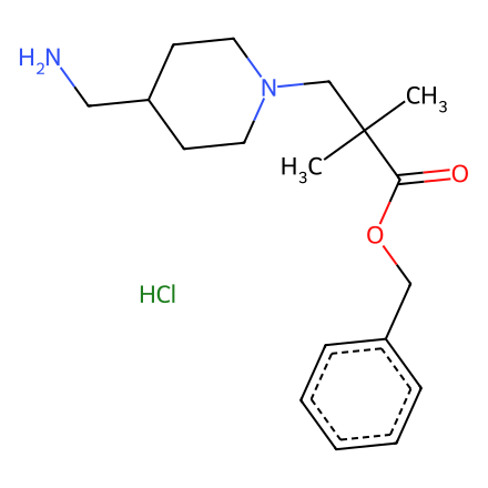 CC(C)(CN1CCC(CN)CC1)C(=O)OCc1ccccc1.Cl